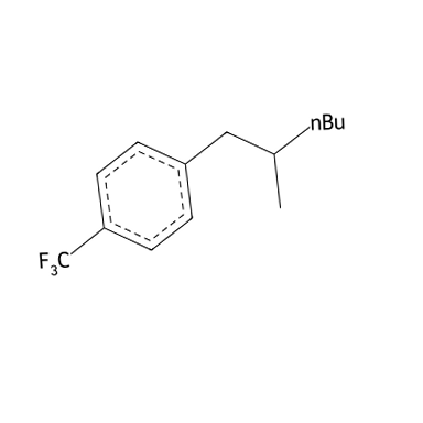 CCCCC(C)Cc1ccc(C(F)(F)F)cc1